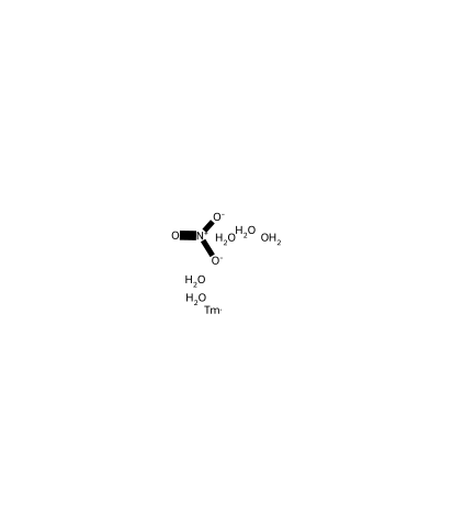 O.O.O.O.O.O=[N+]([O-])[O-].[Tm]